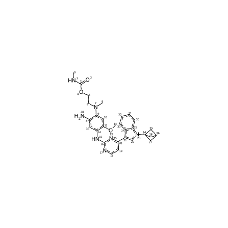 CNC(=O)OCCN(C)c1cc(OC)c(Nc2nccc(-c3cn(C45CC(C4)C5)c4ccccc34)n2)cc1N